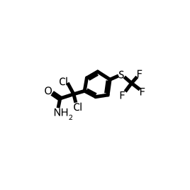 NC(=O)C(Cl)(Cl)c1ccc(SC(F)(F)F)cc1